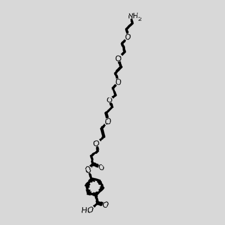 NCCOCCOCCOCCOCCOCCOCCC(=O)Oc1ccc(C(=O)O)cc1